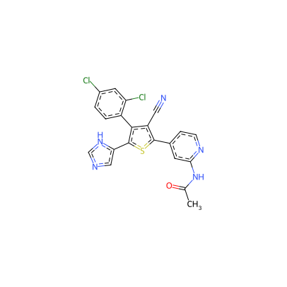 CC(=O)Nc1cc(-c2sc(-c3cnc[nH]3)c(-c3ccc(Cl)cc3Cl)c2C#N)ccn1